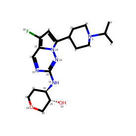 CC(C)N1CCC(c2cc(F)c3cnc(N[C@@H]4CCOC[C@H]4O)nn23)CC1